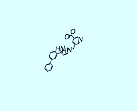 COC(=O)c1cncc(CN/C=C\C(=N)c2cccc(-c3ccccc3)c2)c1